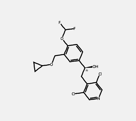 O[C@@H](Cc1c(Cl)cncc1Cl)c1ccc(OC(F)F)c(COC2CC2)c1